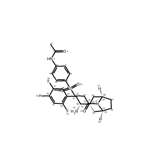 CC(=O)Nc1ccc(S(=O)(=O)CCC(=O)N2[C@@H]3CC[C@H]2C[C@H]([C@H](N)Cc2cc(F)c(F)cc2F)C3)cc1